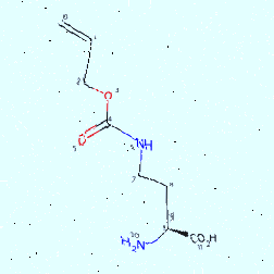 C=CCOC(=O)NCC[C@H](N)C(=O)O